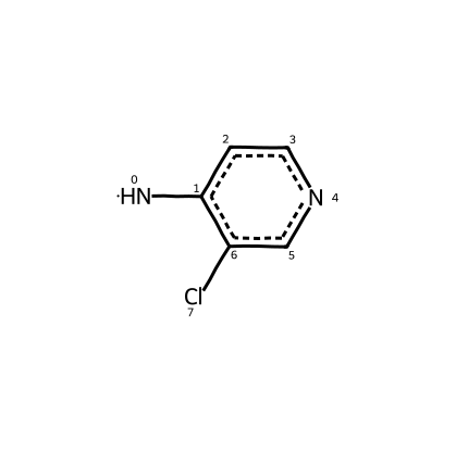 [NH]c1ccncc1Cl